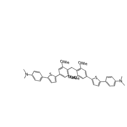 COc1cc(-c2ccc(-c3ccc(N(C)C)cc3)s2)cc(OC)c1Cc1c(OC)cc(-c2ccc(-c3ccc(N(C)C)cc3)s2)cc1OC